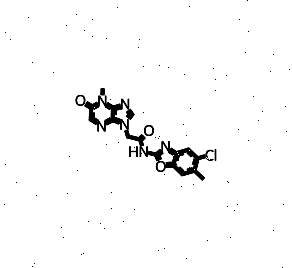 Cc1cc2oc(NC(=O)Cn3cnc4c3ncc(=O)n4C)nc2cc1Cl